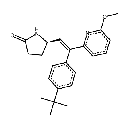 COc1cccc(/C(=C/[C@H]2CCC(=O)N2)c2ccc(C(C)(C)C)cc2)n1